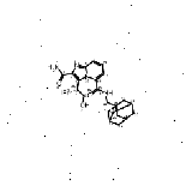 CC(C)[C@@H](CO)c1c(C(N)=O)nc2cccc(C(=O)NCC34CC5CC(CC(C5)C3)C4)n12